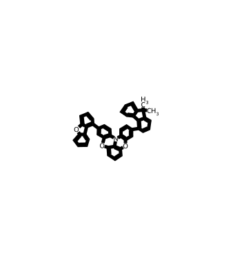 CC1(C)c2ccccc2-c2c(-c3ccc4c(c3)Oc3cccc5c3N4c3ccc(-c4cccc6oc7ccccc7c46)cc3O5)cccc21